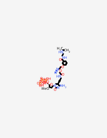 C=C(C)NCCNC(=O)c1cccc(OCC(N=[N+]=[N-])OCC(=O)NCC#Cc2cn(C3CC(OC)[C@H](COP(=O)(O)OP(=O)(O)OP(=O)(O)O)O3)c(=O)nc2N)c1